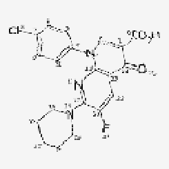 O=C(O)c1cn(-c2ccc(Cl)cc2)c2nc(N3CCCCC3)c(F)cc2c1=O